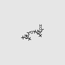 CC(O)Cn1nc(C(C)(C)COCC(C)Cn2nc(C(C)(C)C)cc2C(C)(C)C)cc1C(C)(C)C